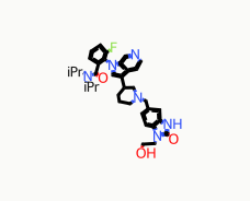 CC(C)N(C(=O)c1cccc(F)c1-n1cc(C2CCCN(Cc3ccc4c(c3)[nH]c(=O)n4CCO)C2)c2ccncc21)C(C)C